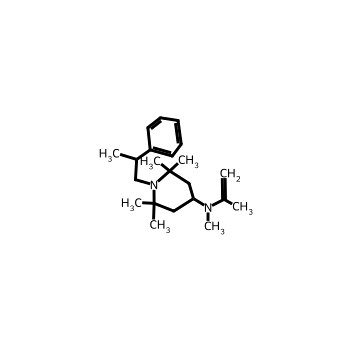 C=C(C)N(C)C1CC(C)(C)N(CC(C)c2ccccc2)C(C)(C)C1